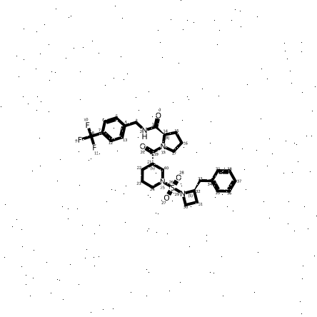 O=C(NCc1ccc(C(F)(F)F)cc1)[C@H]1CCCN1C(=O)[C@H]1CCCN(S(=O)(=O)N2CC[C@@H]2Cc2ccccc2)C1